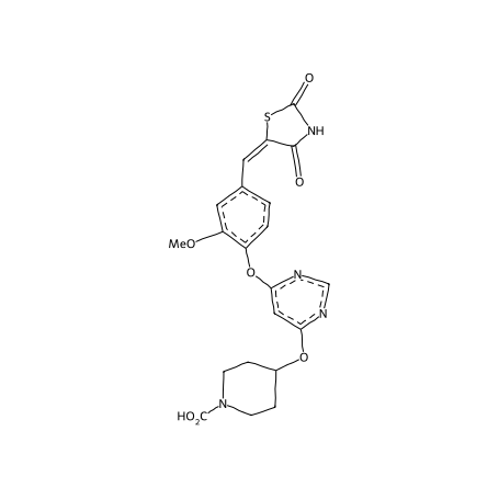 COc1cc(/C=C2/SC(=O)NC2=O)ccc1Oc1cc(OC2CCN(C(=O)O)CC2)ncn1